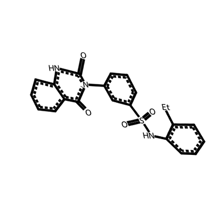 CCc1ccccc1NS(=O)(=O)c1cccc(-n2c(=O)[nH]c3ccccc3c2=O)c1